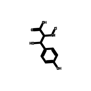 O=C(O)C(NCl)C(O)c1ccc(O)cc1